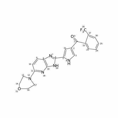 O=C(c1c[nH]c(-c2nc3ccc(N4CCOCC4)nc3[nH]2)c1)c1ccccc1C(F)(F)F